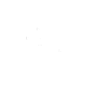 CC(=O)c1ccccc1.CC(C)(C)C(C(=O)c1ccccc1)C(C)(C)C